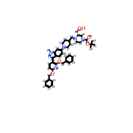 Cn1nc(-c2ccc(OCc3ccccc3)nc2OCc2ccccc2)c2ccc(N3CCC(CN4CCN(C(=O)OC(C)(C)C)C[C@H]4CO)CC3)cc21